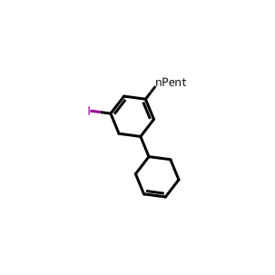 CCCCCC1=CC(C2CC=CCC2)CC(I)=C1